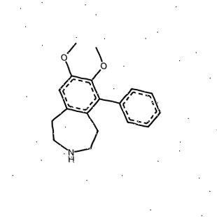 COc1cc2c(c(-c3ccccc3)c1OC)CCNCC2